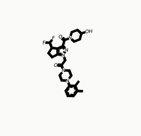 Cc1cccc(N2CCN(C(=O)Cn3nc(C(=O)N4CCC(O)CC4)c4c3CCC4C(F)F)CC2)c1C